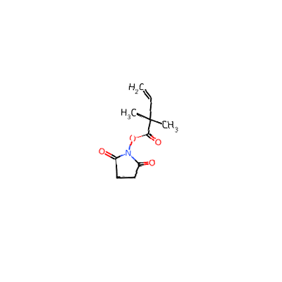 C=CC(C)(C)C(=O)ON1C(=O)CCC1=O